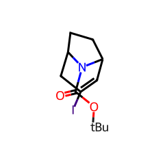 CC(C)(C)OC(=O)N1C2C=C(I)CC1CC2